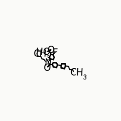 CCCCCCN(C(=O)c1ccc(-c2ccc(CCCC)cc2)cc1)c1ccc(F)c(C(=O)O)c1